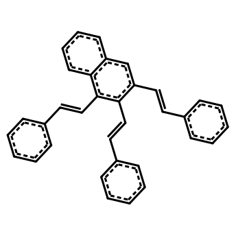 C(=C\c1cc2ccccc2c(/C=C/c2ccccc2)c1/C=C/c1ccccc1)/c1ccccc1